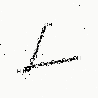 Cc1cc(N(CCOCCOCCOCCOCCOCCOCCOCCO)CCOCCOCCOCCOCCOCCOCCOCCO)ccc1N